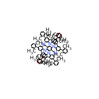 Cc1cccc(C)c1-c1ccc2c(c1)c1cc(-c3c(C)cccc3C)ccc1n2-c1c(C#N)c(-n2c3ccc(-c4c(C)cccc4C)cc3c3cc(-c4c(C)cccc4C)ccc32)c(-n2c3ccc(-c4c(C)cccc4C)cc3c3cc(-c4c(C)cccc4C)ccc32)c(C#N)c1-n1c2ccc(-c3c(C)cccc3C)cc2c2cc(-c3c(C)cccc3C)ccc21